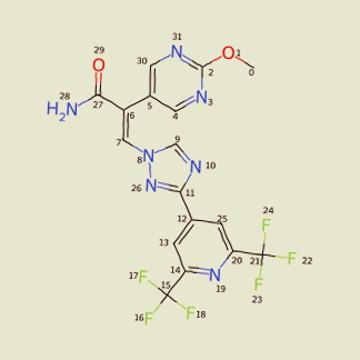 COc1ncc(/C(=C\n2cnc(-c3cc(C(F)(F)F)nc(C(F)(F)F)c3)n2)C(N)=O)cn1